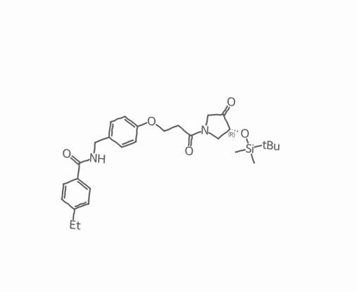 CCc1ccc(C(=O)NCc2ccc(OCCC(=O)N3CC(=O)[C@H](O[Si](C)(C)C(C)(C)C)C3)cc2)cc1